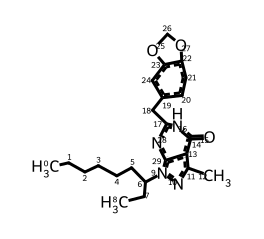 CCCCCCC(CC)n1nc(C)c2c(=O)[nH]c(Cc3ccc4c(c3)OCO4)nc21